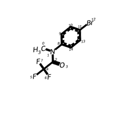 CN(C(=O)C(F)(F)F)c1ccc(Br)cc1